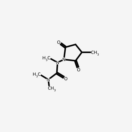 CC1CC(=O)N(N(C)C(=O)N(C)C)C1=O